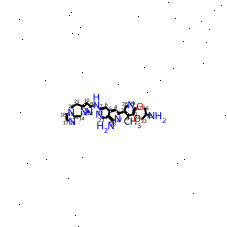 Cc1c(-c2cc3cc(Nc4cc5n(n4)Cc4nccn4CC5)ncc3c(N)n2)cnc2c1OCC(N)CO2